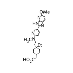 CCC1(CCN(C)c2ccc(-c3nc4ccc(OC)nc4[nH]3)cn2)CCC(CC(=O)O)CC1